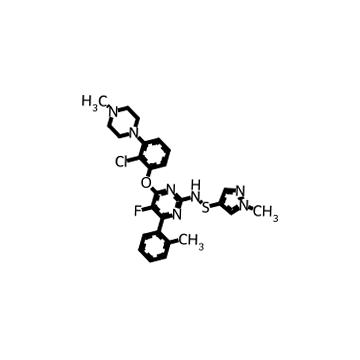 Cc1ccccc1-c1nc(NSc2cnn(C)c2)nc(Oc2cccc(N3CCN(C)CC3)c2Cl)c1F